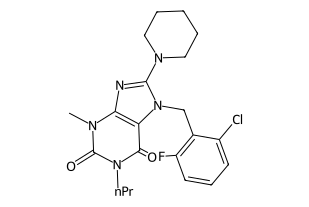 CCCn1c(=O)c2c(nc(N3CCCCC3)n2Cc2c(F)cccc2Cl)n(C)c1=O